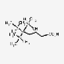 C[Si](C)(C)[Si](CCCC(=O)O)([Si](C)(C)C)[Si](C)(C)C